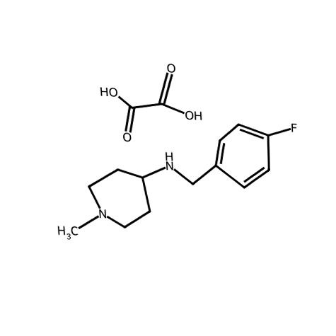 CN1CCC(NCc2ccc(F)cc2)CC1.O=C(O)C(=O)O